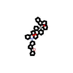 c1ccc(-c2ccccc2N(c2ccc(-c3cccc([Si](c4ccccc4)(c4ccccc4)c4cc5ccccc5c5ccccc45)c3)cc2)c2ccc3c(ccc4c5ccccc5oc34)c2)cc1